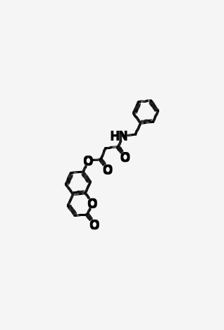 O=C(CC(=O)Oc1ccc2ccc(=O)oc2c1)NCc1ccccc1